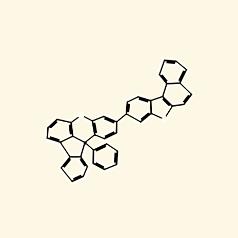 c1ccc(C23c4ccc(-c5ccc6c(c5)sc5ccc7ccccc7c56)cc4Oc4cccc(c42)-c2ccccc23)cc1